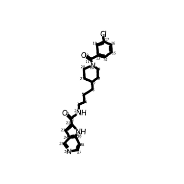 O=C(NCCCCC1CCN(C(=O)c2cccc(Cl)c2)CC1)c1cc2cnccc2[nH]1